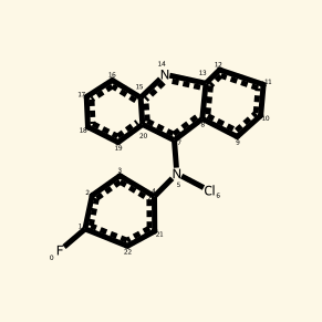 Fc1ccc(N(Cl)c2c3ccccc3nc3ccccc23)cc1